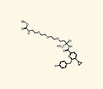 CCC(CCOCCOCCOCCNC(=O)OC(C)(C)C)(NC(=O)c1ccc(C2CC2)c(Cc2ccc(F)cc2)n1)C(=O)O